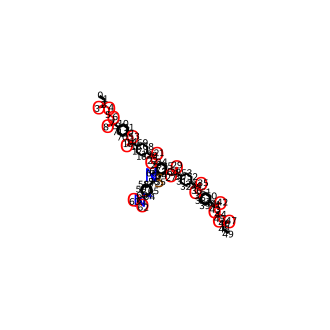 C=CC(=O)OCOC(=O)c1ccc(OC(=O)C2CCC(C(=O)Oc3ccc(OC(=O)C4CCC(C(=O)Oc5ccc(C(=O)OCOC(=O)C=C)cc5)CC4)c4sc(-c5ccc([N+](=O)[O-])cc5)nc34)CC2)cc1